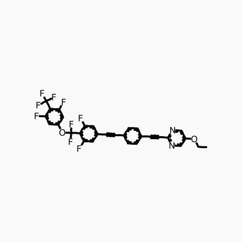 CCOc1cnc(C#Cc2ccc(C#Cc3cc(F)c(C(F)(F)Oc4cc(F)c(C(F)(F)F)c(F)c4)c(F)c3)cc2)nc1